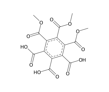 COC(=O)c1c(C(=O)O)c(C(=O)O)c(C(=O)O)c(C(=O)OC)c1C(=O)OC